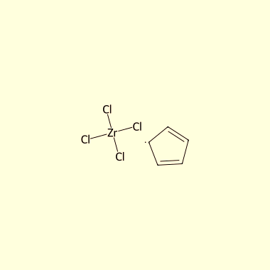 [CH]1C=CC=C1.[Cl][Zr]([Cl])([Cl])[Cl]